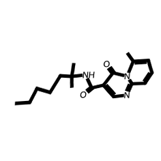 CCCCCC(C)(C)NC(=O)c1cnc2cccc(C)n2c1=O